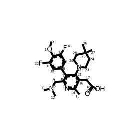 COc1c(F)cc(-c2c(CN(C)C)nc(C)c(CC(=O)O)c2N2CCC(C)(C)CC2)cc1F